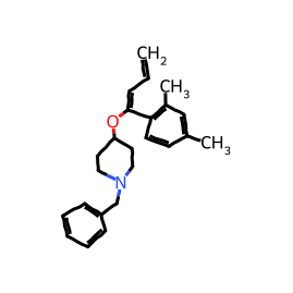 C=C/C=C(/OC1CCN(Cc2ccccc2)CC1)c1ccc(C)cc1C